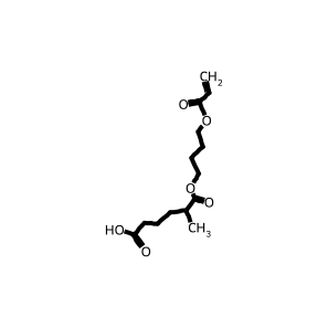 C=CC(=O)OCCCCOC(=O)C(C)CCCC(=O)O